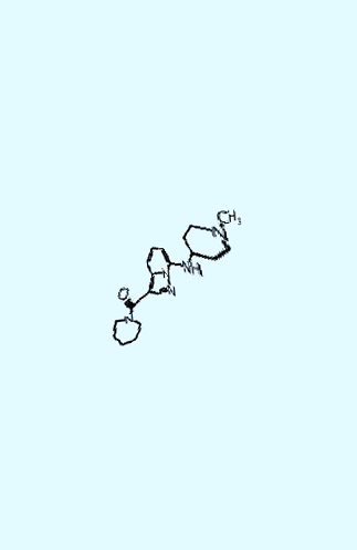 CN1CCC(Nc2cccc3c(C(=O)N4CCCCC4)cnn23)CC1